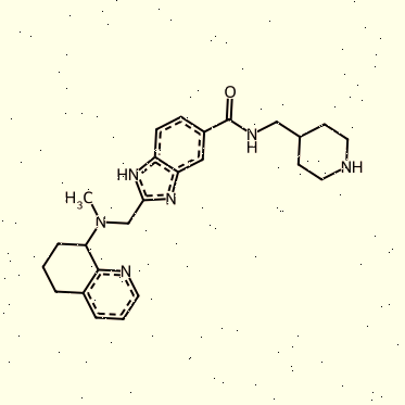 CN(Cc1nc2cc(C(=O)NCC3CCNCC3)ccc2[nH]1)C1CCCc2cccnc21